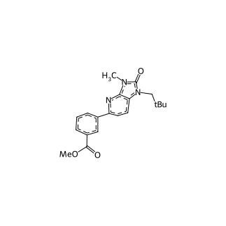 COC(=O)c1cccc(-c2ccc3c(n2)n(C)c(=O)n3CC(C)(C)C)c1